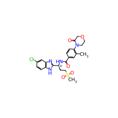 Cc1cc(C(=O)N[C@@H](CCS(C)(=O)=O)c2nc3cc(Cl)ccc3[nH]2)ccc1N1CCOCC1=O